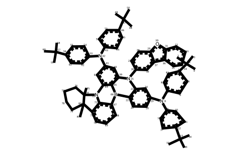 CC(C)(C)c1ccc(N(c2ccc(C(C)(C)C)cc2)c2ccc3c(c2)N(c2ccc4oc5ccccc5c4c2)c2cc(N(c4ccc(C(C)(C)C)cc4)c4ccc(C(C)(C)C)cc4)cc4c2B3c2cccc3c2N4C2(C)CCCCC32C)cc1